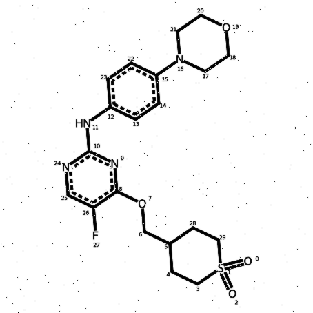 O=S1(=O)CCC(COc2nc(Nc3ccc(N4CCOCC4)cc3)ncc2F)CC1